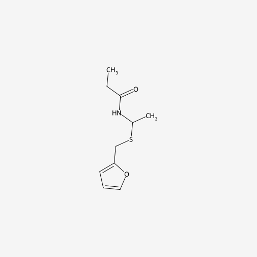 CCC(=O)NC(C)SCc1ccco1